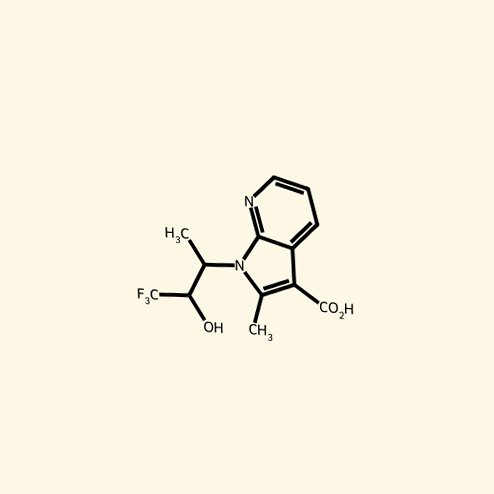 Cc1c(C(=O)O)c2cccnc2n1C(C)C(O)C(F)(F)F